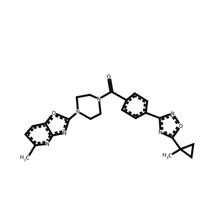 Cc1ccc2oc(N3CCN(C(=O)c4ccc(-c5noc(C6(C)CC6)n5)cc4)CC3)nc2n1